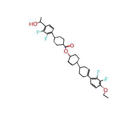 CCOc1ccc(C2=CCC(C3CCC(OC(=O)C4CCC(c5ccc(C(C)O)c(F)c5F)CC4)CC3)CC2)c(F)c1F